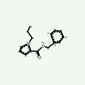 CCCn1cccc1C(=O)OCc1ccccc1